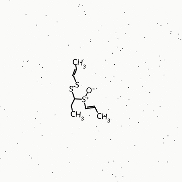 CC=CSSC(CC)[S+]([O-])C=CC